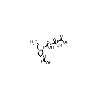 CCCN1CCCC1.O=C(O)F.O=C(O)F.O=C(O)F.O=C(O)F